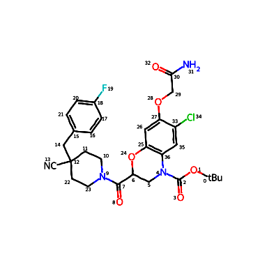 CC(C)(C)OC(=O)N1CC(C(=O)N2CCC(C#N)(Cc3ccc(F)cc3)CC2)Oc2cc(OCC(N)=O)c(Cl)cc21